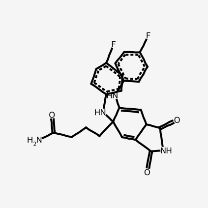 NC(=O)CCCC1(Nc2ccc(F)cc2)C=C2C(=O)NC(=O)C2C=C1Nc1ccc(F)cc1